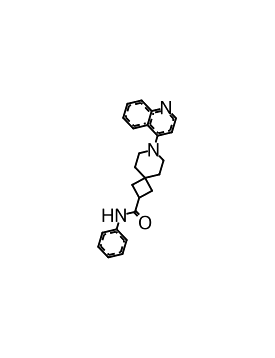 O=C(Nc1ccccc1)C1CC2(CCN(c3ccnc4ccccc34)CC2)C1